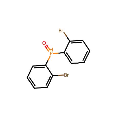 O=[PH](c1ccccc1Br)c1ccccc1Br